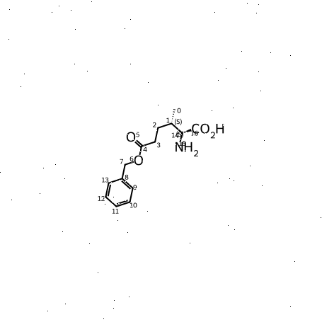 C[C@@H](CCC(=O)OCc1ccccc1)[C@H](N)C(=O)O